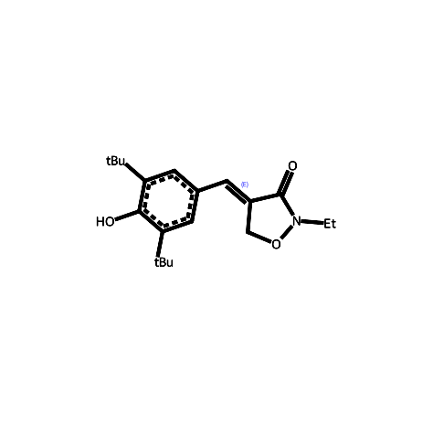 CCN1OC/C(=C\c2cc(C(C)(C)C)c(O)c(C(C)(C)C)c2)C1=O